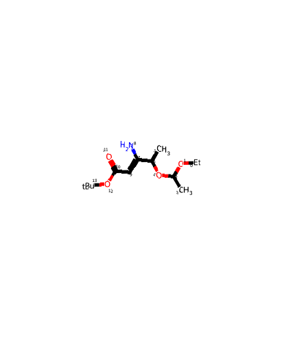 CCOC(C)OC(C)/C(N)=C/C(=O)OC(C)(C)C